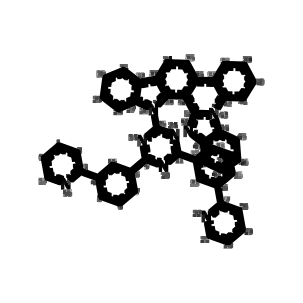 c1ccc(-c2cccc(-c3nc(-c4cccc(-c5ccccn5)c4)nc(-n4c5ccccc5c5ccc6c7ccccc7n7c8ccccc8nc7c6c54)n3)c2)nc1